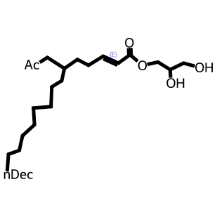 CCCCCCCCCCCCCCCCCCC(CC/C=C/C(=O)OCC(O)CO)CC(C)=O